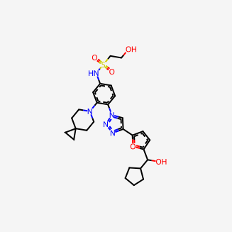 O=S(=O)(CCO)Nc1ccc(-n2cc(-c3ccc(C(O)C4CCCC4)o3)nn2)c(N2CCC3(CC2)CC3)c1